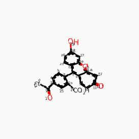 CCC(=O)c1ccc(-c2c3ccc(=O)cc-3oc3cc(O)ccc23)c(C(=O)O)c1